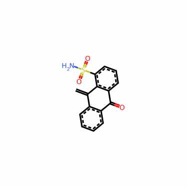 C=C1c2ccccc2C(=O)c2cccc(S(N)(=O)=O)c21